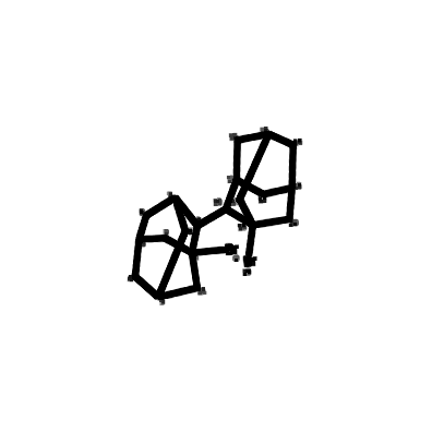 BrC12CC3CC(CC(C3)C1C1C3CC4CC(C3)CC1(Br)C4)C2